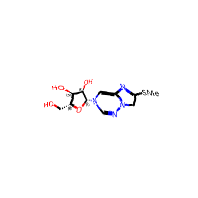 CSC1=NC2=CN([C@@H]3O[C@H](CO)[C@@H](O)[C@H]3O)C=NN2C1